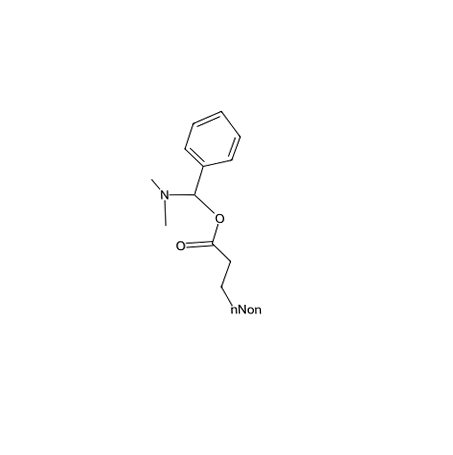 CCCCCCCCCCCC(=O)OC(c1ccccc1)N(C)C